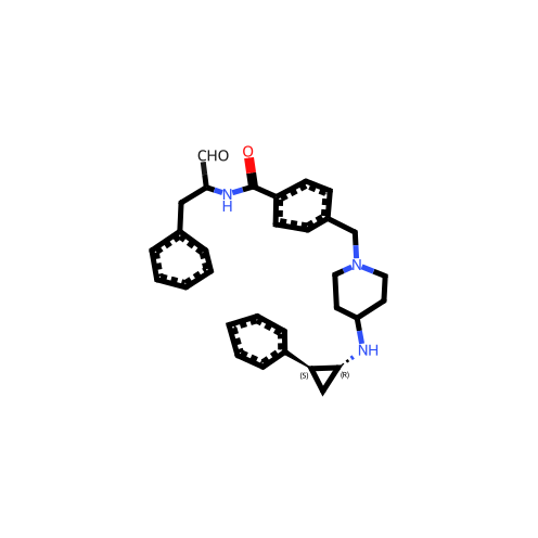 O=CC(Cc1ccccc1)NC(=O)c1ccc(CN2CCC(N[C@@H]3C[C@H]3c3ccccc3)CC2)cc1